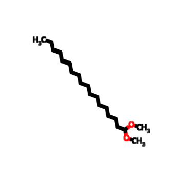 CCC=CC=CCCCCCCCCCCCC(OC)OC